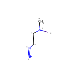 CN(I)CCN=N